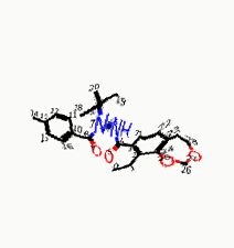 CCc1c(C(=O)NN(C(=O)c2ccc(C)cc2)C(C)(C)C)ccc2c1OCOC2